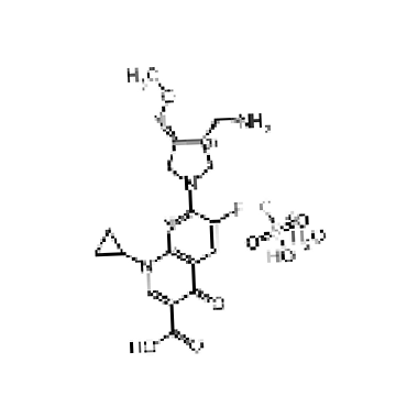 CON=C1CN(c2nc3c(cc2F)c(=O)c(C(=O)O)cn3C2CC2)C[C@@H]1CN.CS(=O)(=O)O.O